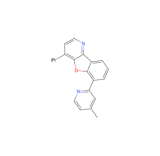 Cc1ccnc(-c2cccc3c2oc2c(C(C)C)ccnc23)c1